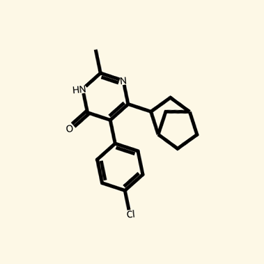 Cc1nc(C2CC3CCC2C3)c(-c2ccc(Cl)cc2)c(=O)[nH]1